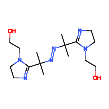 CC(C)(/N=N/C(C)(C)C1=NCCN1CCO)C1=NCCN1CCO